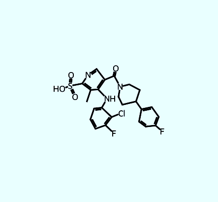 Cc1c(S(=O)(=O)O)ncc(C(=O)N2CCC(c3ccc(F)cc3)CC2)c1Nc1cccc(F)c1Cl